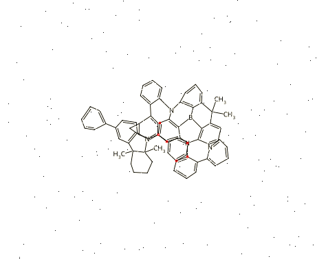 CC1(C)c2cccc3c2B2c4c(cc(N5c6ccc(-c7ccccc7)cc6C6(C)CCCCC56C)cc4N(c4ccccc4-c4ccccn4)c4cccc1c42)N3c1ccccc1C1=CC(c2ccccc2)=CC2CC12